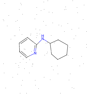 [c]1cccc(NC2CCCCC2)n1